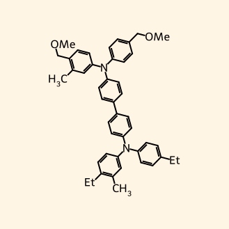 CCc1ccc(N(c2ccc(-c3ccc(N(c4ccc(COC)cc4)c4ccc(COC)c(C)c4)cc3)cc2)c2ccc(CC)c(C)c2)cc1